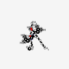 COCCOCCOCCOCC[N+]1=C(/C=C2\C(=O)C(/C=C3/N(CCCC(=O)ON4C(=O)CCC4=O)c4ccc5c(S(=O)(=O)O)cc(S(=O)(=O)O)cc5c4C3(C)CCOCCOCCOCCOC)=C2O)C(C)(CCCS(=O)(=O)O)c2c1ccc1c(S(=O)(=O)O)cc(S(=O)(=O)O)cc21